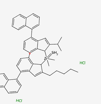 CCCCCC1=Cc2c(-c3cccc4ccccc34)ccc(C)c2[CH]1[Zr]([CH3])([CH3])(=[SiH2])[CH]1C(C(C)C)=Cc2c(-c3cccc4ccccc34)cccc21.Cl.Cl